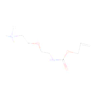 [CH2]C[N+](C)(C)CCOCCNC(=O)OCC=C